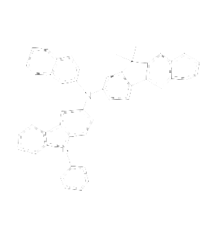 CC1(C)c2cc(N(c3ccc4ccccc4c3)c3ccc4c(c3)c3ccccc3n4-c3ccccc3)ccc2-c2cc3ccccc3cc21